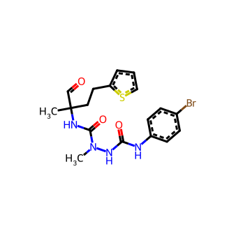 CN(NC(=O)Nc1ccc(Br)cc1)C(=O)NC(C)(C=O)CCc1cccs1